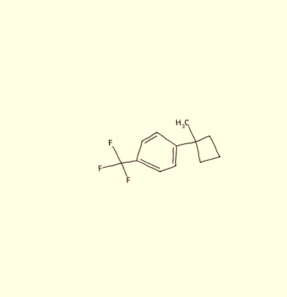 CC1(c2ccc(C(F)(F)F)cc2)CCC1